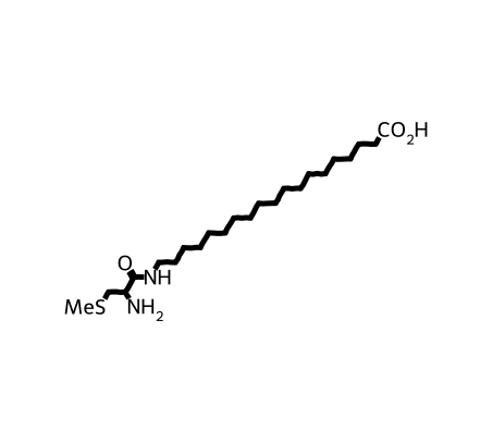 CSCC(N)C(=O)NCCCCCCCCCCCCCCCCCCC(=O)O